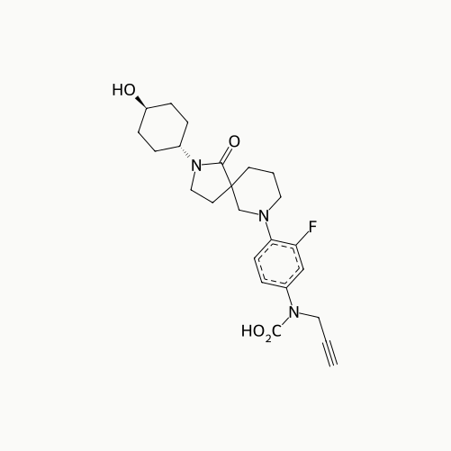 C#CCN(C(=O)O)c1ccc(N2CCCC3(CCN([C@H]4CC[C@H](O)CC4)C3=O)C2)c(F)c1